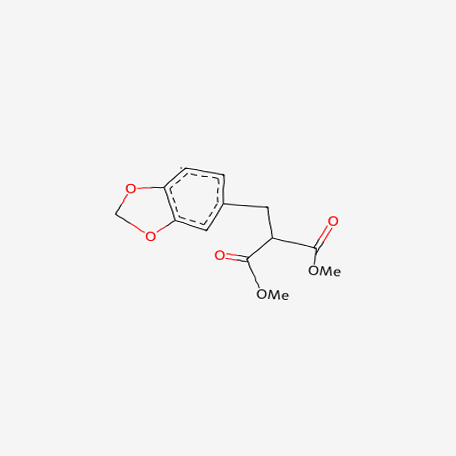 COC(=O)C(Cc1c[c]c2c(c1)OCO2)C(=O)OC